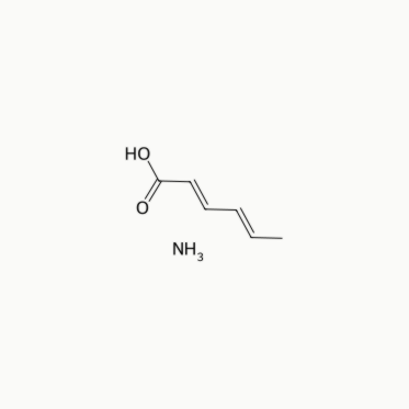 CC=CC=CC(=O)O.N